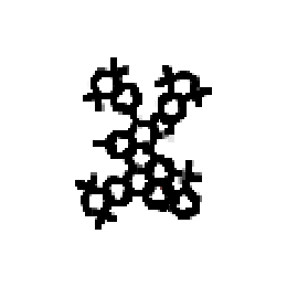 Cc1cc2c3c(c1)N(c1ccc4c(c1)C(C)(C)CCC4(C)C)c1c(oc4cc5c(cc14)C(C)(C)CCC5(C)C)B3c1cc3c(cc1N2c1cc2c(cc1-c1ccccc1)C(C)(C)CCC2(C)C)-c1ccccc1[Si]3(C)C